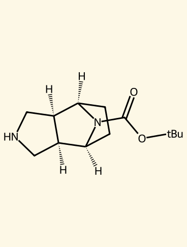 CC(C)(C)OC(=O)N1[C@@H]2CC[C@H]1[C@H]1CNC[C@H]12